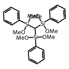 CO[Si](OC)(c1ccccc1)C([Si](OC)(OC)c1ccccc1)[Si](OC)(OC)c1ccccc1